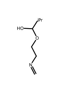 C=NCCOC(O)C(C)C